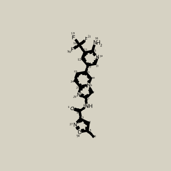 Cc1cc(C(=O)Nc2cn3cc(-c4cnc(N)c(C(F)(F)F)c4)ccc3n2)no1